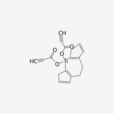 C#CC(=O)[O][Ti]1([O]C(=O)C#C)[C]2=C(C=CC2)CCC2=[C]1CC=C2